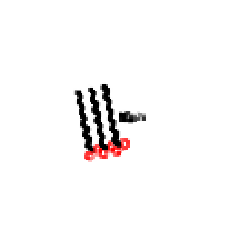 CCCCCCCCCCCC(=O)[O-].CCCCCCCCCCCC(=O)[O-].CCCCCCCCCCCC(=O)[O-].[Cu+2].[Na+]